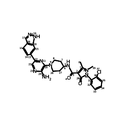 Cc1c(C(=O)NC2CCN(c3nc(-c4ccc5cn[nH]c5c4)cnc3N)CC2)c(=O)n(-c2ccccc2Cl)n1C